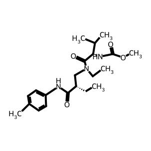 CC[C@@H](CN(CC)C(=O)[C@@H](NC(=O)OC)C(C)C)C(=O)Nc1ccc(C)cc1